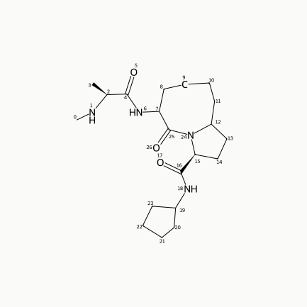 CN[C@@H](C)C(=O)NC1CCCCC2CC[C@@H](C(=O)NC3CCCC3)N2C1=O